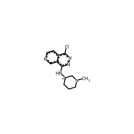 CN1CCC[C@@H](Nc2nnc(Cl)c3ccncc23)C1